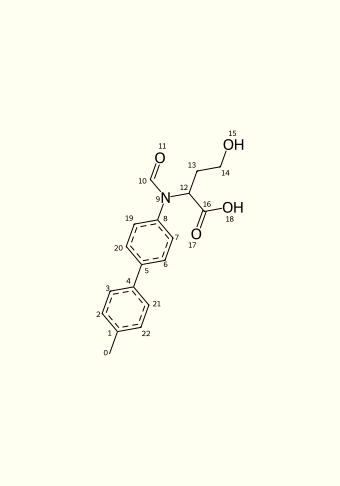 Cc1ccc(-c2ccc(N(C=O)C(CCO)C(=O)O)cc2)cc1